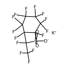 O=S(=O)([O-])C(F)(C(F)(F)F)C1(F)C(F)(F)C(F)(F)C(F)(F)C(F)(F)C1(F)F.[K+]